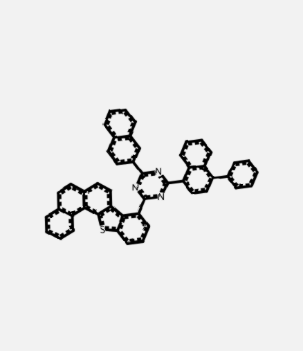 c1ccc(-c2ccc(-c3nc(-c4ccc5ccccc5c4)nc(-c4cccc5sc6c(ccc7ccc8ccccc8c76)c45)n3)c3ccccc23)cc1